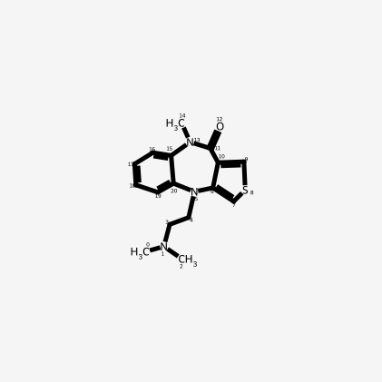 CN(C)CCN1c2cscc2C(=O)N(C)c2ccccc21